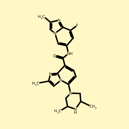 Cc1cn2cc(NC(=O)c3ccc(N4CC(C)NC(C)C4)n4cc(C)nc34)cc(F)c2n1